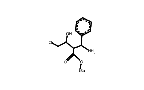 CC(C)(C)OC(=O)C(C(O)CCl)C(N)c1ccccc1